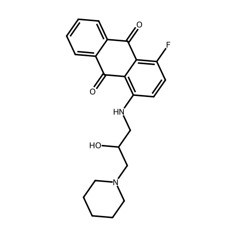 O=C1c2ccccc2C(=O)c2c(NCC(O)CN3CCCCC3)ccc(F)c21